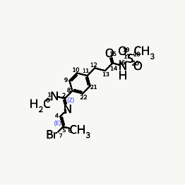 C=N/C(=N\C=C(/C)Br)c1ccc(CCC(=O)NS(C)(=O)=O)cc1